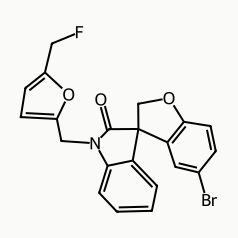 O=C1N(Cc2ccc(CF)o2)c2ccccc2C12COc1ccc(Br)cc12